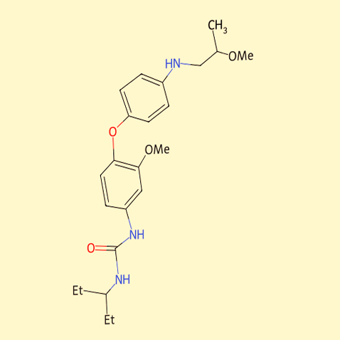 CCC(CC)NC(=O)Nc1ccc(Oc2ccc(NCC(C)OC)cc2)c(OC)c1